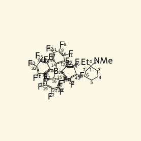 CCC1([NH2+]C)CCCCC1.Fc1c(F)c(F)c([B-](c2c(F)c(F)c(F)c(F)c2F)(c2c(F)c(F)c(F)c(F)c2F)c2c(F)c(F)c(F)c(F)c2F)c(F)c1F